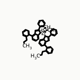 CCCc1ccccc1-c1cccc2c1C=C(c1ccccc1)[CH]2[Zr]([CH]1C(c2ccccc2)=Cc2c(-c3ccccc3CCC)cccc21)[SiH](C)C